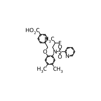 Cc1cc(OCc2ccc(C(=O)O)cc2)c(N(CC(C)F)S(=O)(=O)c2ccccn2)cc1C